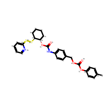 O=C(Nc1ccc(COC(=O)Oc2ccc([N+](=O)[O-])cc2)cc1)O[C@H]1CCCC[C@@H]1SSc1ccccn1